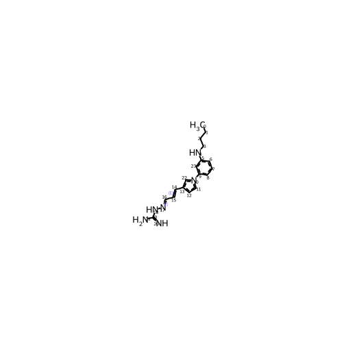 CCCCNc1cccc(-n2ccc(/C=C/C=N/NC(=N)N)c2)c1